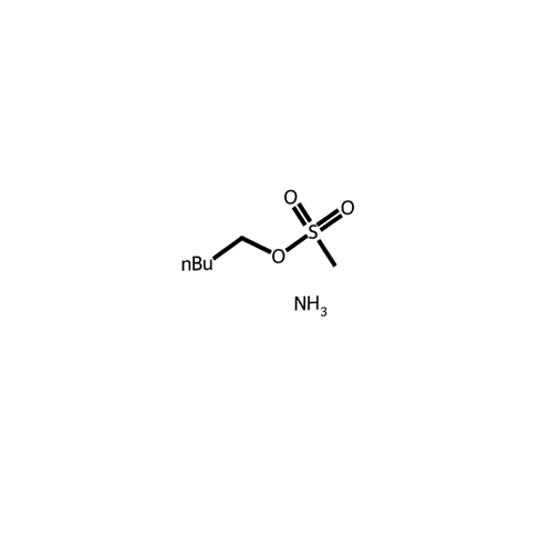 CCCCCOS(C)(=O)=O.N